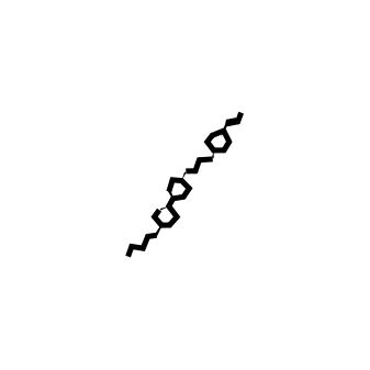 CC=C[C@H]1CC[C@H](CCCC[C@H]2CC[C@H]([C@H]3CC[C@H](CCCCC)CC3)CC2)CC1